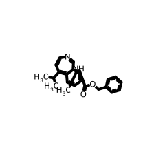 CC1=C(C(=O)OCc2ccccc2)C2=CC=CC3=C(C(C)C)C=CN=CC23N1